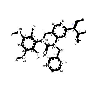 C/C=C(\C(C)=N)c1cc2c(cn1)CN(c1c(F)c(OC)cc(OC)c1F)C(=O)N2Cc1cnccn1